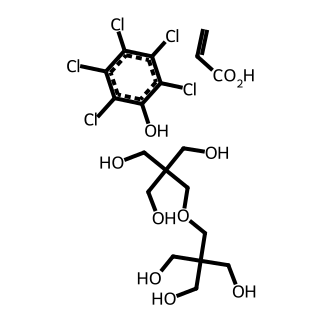 C=CC(=O)O.OCC(CO)(CO)COCC(CO)(CO)CO.Oc1c(Cl)c(Cl)c(Cl)c(Cl)c1Cl